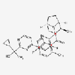 Cc1cnc(-c2ccnc(C(C)(O)C3CC3)n2)c(F)c1C(=O)N1C[C@H]2CC[C@@H]([C@H]1C)N2Cc1ncc(F)cc1F